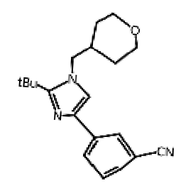 CC(C)(C)c1nc(-c2cccc(C#N)c2)cn1CC1CCOCC1